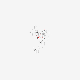 Cc1nnc(-c2ccc3c(=O)n(-c4ccc(Cl)c5c(NS(C)(=O)=O)nn(CC(F)(F)F)c45)c([C@H](Cc4cc(F)cc(F)c4)NC(=O)Cn4nc(C(F)F)c5c4C(F)(F)[C@@H]4C[C@H]54)nc3c2)nc1C